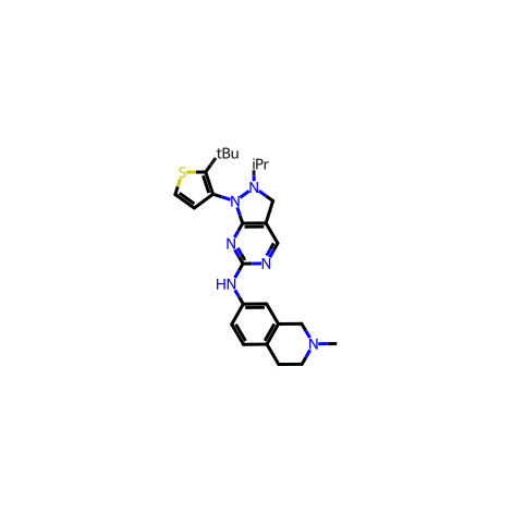 CC(C)N1Cc2cnc(Nc3ccc4c(c3)CN(C)CC4)nc2N1c1ccsc1C(C)(C)C